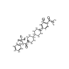 CN(C)C(=O)c1ccc(N2CCC(C3CCN(C(=O)C(c4ccccc4)C(F)(F)F)CC3)CC2)cc1Cl